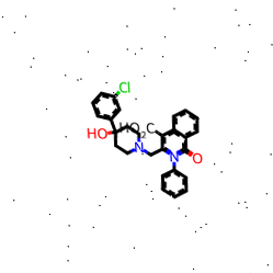 O=C(O)c1c(CN2CCC(O)(c3cccc(Cl)c3)CC2)n(-c2ccccc2)c(=O)c2ccccc12